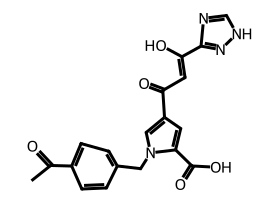 CC(=O)c1ccc(Cn2cc(C(=O)C=C(O)c3nc[nH]n3)cc2C(=O)O)cc1